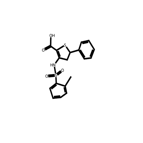 Cc1ccccc1S(=O)(=O)NC1=C(C(=O)O)SC(c2ccccc2)C1